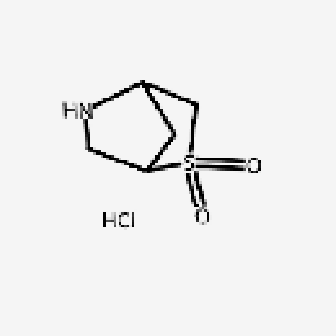 Cl.O=S1(=O)CC2CC1CN2